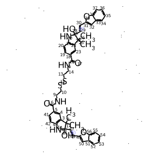 CC1(C)c2cc(C(=O)NCCSSCCNC(=O)c3ccc4c(c3)C(C)(C)C(O)(/C=C/c3cc5ccccc5o3)N4)ccc2NC1(O)/C=C/c1cc2ccccc2o1